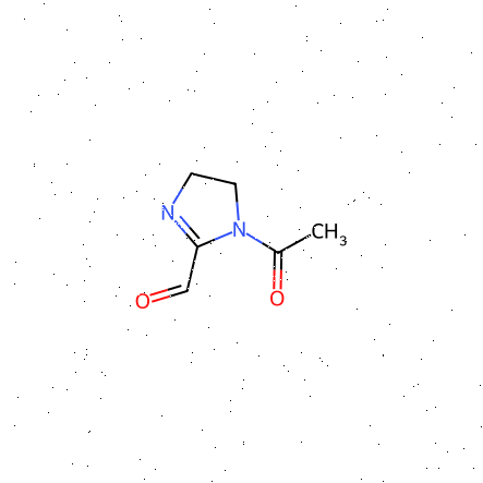 CC(=O)N1CCN=C1C=O